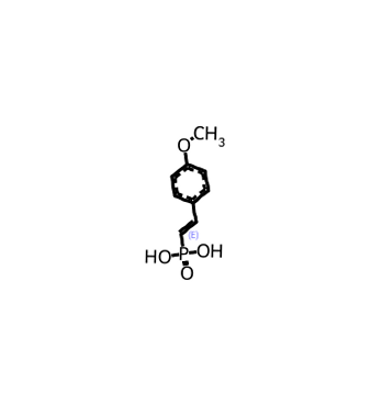 COc1ccc(/C=C/P(=O)(O)O)cc1